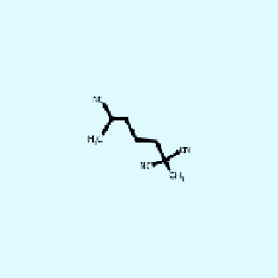 CC(C#N)CCCC(C)(C#N)C#N